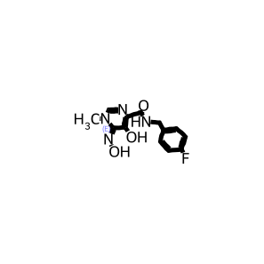 Cn1cnc(C(=O)NCc2ccc(F)cc2)c(O)/c1=N\O